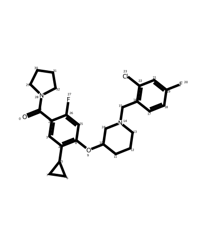 O=C(c1cc(C2CC2)c(OC2CCCN(Cc3ccc(F)cc3Cl)C2)cc1F)N1CCCC1